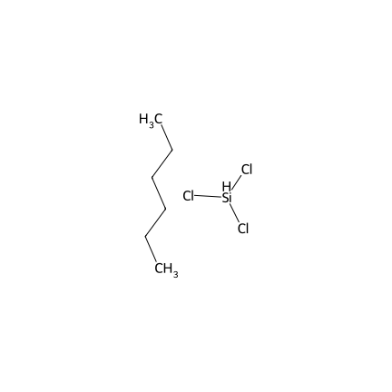 CCCCCC.Cl[SiH](Cl)Cl